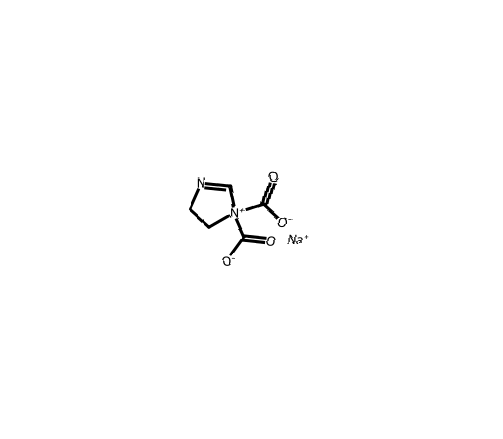 O=C([O-])[N+]1(C(=O)[O-])C=NCC1.[Na+]